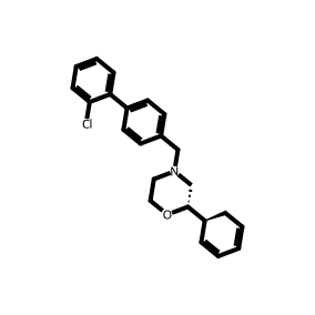 Clc1ccccc1-c1ccc(CN2CCO[C@@H]([C@@H]3C=CC=CC3)C2)cc1